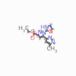 CCOC(=O)c1cc(-c2cc(C)ncn2)n(C2NCCO2)n1